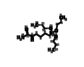 CCCO[Si](CCCCNC(N)=O)(OCCC)OCCC